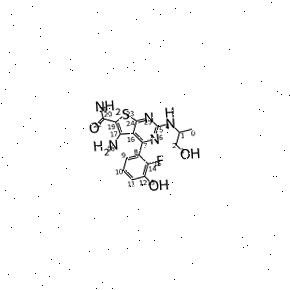 CC(CO)Nc1nc(-c2cccc(O)c2F)c2c(N)c(C(N)=O)sc2n1